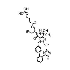 CCCc1nc(C(C)(C)O)c(C(=O)NC(COC(=O)CCCON(O)O)CC(C)C)n1Cc1ccc(-c2ccccc2-c2nnn[nH]2)cc1